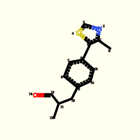 Cc1ncsc1-c1ccc(CC(C)C=O)cc1